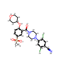 CS(=O)(=O)c1ccc(OC2CCOCC2)c(C(=O)N2CCN(c3cc(F)c(C#N)cc3F)CC2)c1